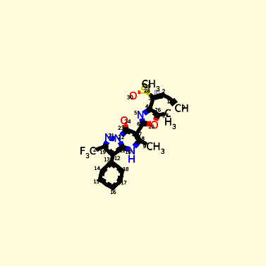 C#C/C=C(\c1nc(-c2c(C)[nH]c3c(-c4ccccc4)c(C(F)(F)F)nn3c2=O)oc1C)[S+](C)[O-]